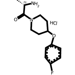 C[C@H](N)C(=O)N1CCC(Oc2ccc(F)cc2)CC1.Cl